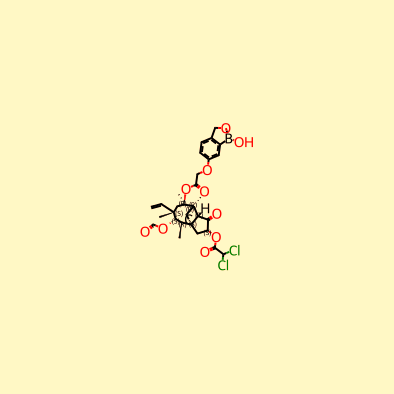 C=C[C@]1(C)C[C@@H](OC(=O)COc2ccc3c(c2)B(O)OC3)[C@]2(C)[C@H](C)CC[C@]3(C[C@H](OC(=O)C(Cl)Cl)C(=O)[C@H]32)[C@@H](C)[C@@H]1OC=O